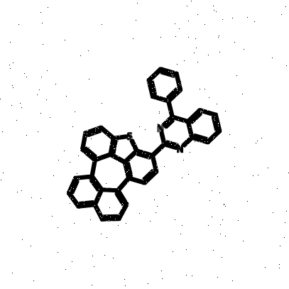 c1ccc(-c2nc(-c3ccc4c5c3sc3cccc(c35)-c3cccc5cccc-4c35)nc3ccccc23)cc1